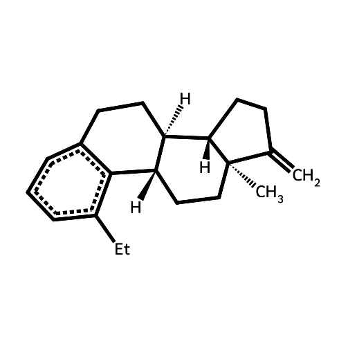 C=C1CC[C@H]2[C@@H]3CCc4cccc(CC)c4[C@H]3CC[C@]12C